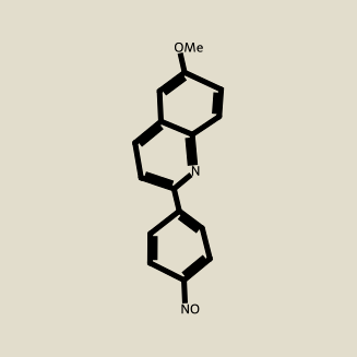 COc1ccc2nc(-c3ccc(N=O)cc3)ccc2c1